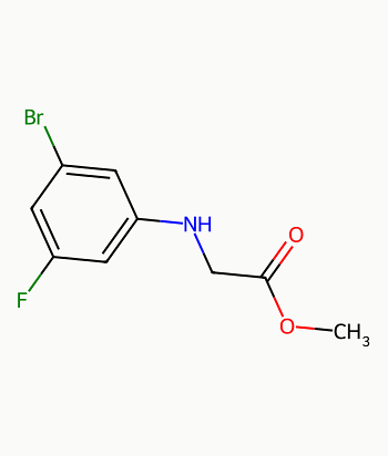 COC(=O)CNc1cc(F)cc(Br)c1